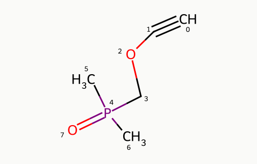 C#COCP(C)(C)=O